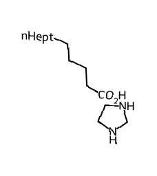 C1CNCN1.CCCCCCCCCCCC(=O)O